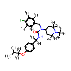 [2H]c1c([2H])c(CN(C(=O)NC([2H])([2H])c2ccc(OC([2H])([2H])C(C)C)cc2)C2CC([2H])([2H])N(C([2H])([2H])[2H])C([2H])([2H])C2)c([2H])c([2H])c1F